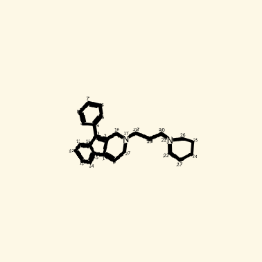 C1=C2C(=C(c3ccccc3)c3ccccc32)CN(CCCN2CCCCC2)C1